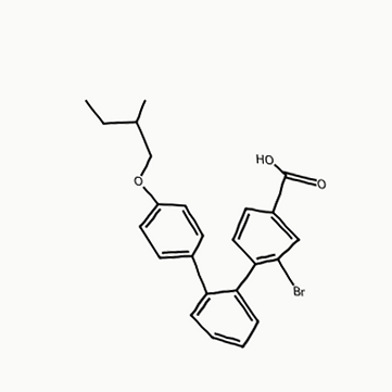 CCC(C)COc1ccc(-c2ccccc2-c2ccc(C(=O)O)cc2Br)cc1